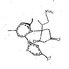 CC(=O)NCC(C)C1(c2c(C)cc(C)cc2-n2cc(Cl)cn2)CC(=O)CC1=O